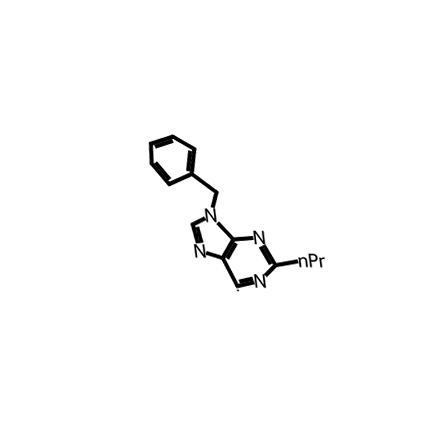 CCCc1n[c]c2ncn(Cc3ccccc3)c2n1